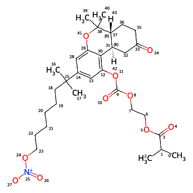 CC(C)C(=O)OCCOC(=O)Oc1cc(C(C)(C)CCCCCCO[N+](=O)[O-])cc2c1[C@@H]1CC(=O)CC[C@H]1C(C)(C)O2